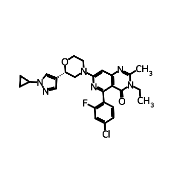 CCn1c(C)nc2cc(N3CCO[C@@H](c4cnn(C5CC5)c4)C3)nc(-c3ccc(Cl)cc3F)c2c1=O